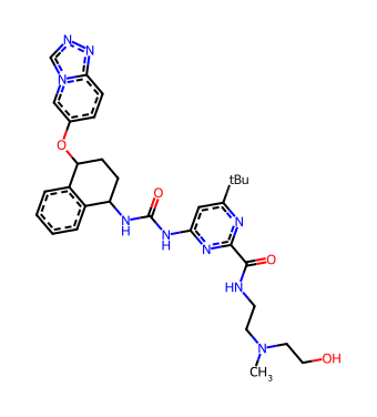 CN(CCO)CCNC(=O)c1nc(NC(=O)NC2CCC(Oc3ccc4nncn4c3)c3ccccc32)cc(C(C)(C)C)n1